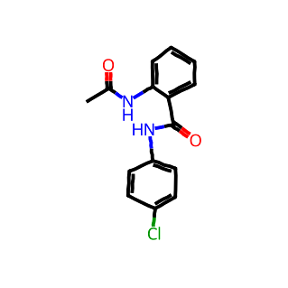 CC(=O)Nc1ccccc1C(=O)Nc1ccc(Cl)cc1